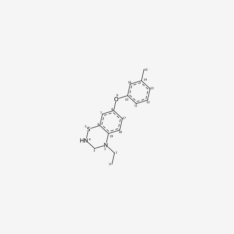 CCN1CNSc2cc(Oc3cccc(C)c3)ccc21